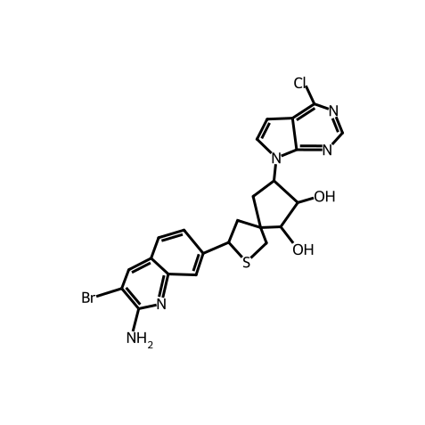 Nc1nc2cc(C3CC4(CS3)CC(n3ccc5c(Cl)ncnc53)C(O)C4O)ccc2cc1Br